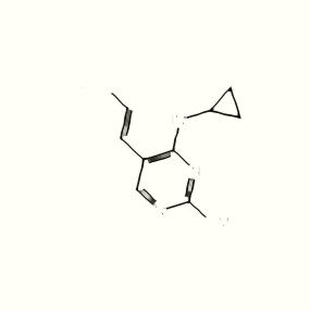 CSc1ncc(C=CC(=O)O)c(NC2CC2)n1